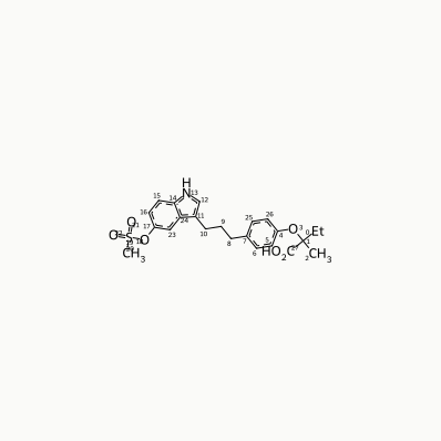 CCC(C)(Oc1ccc(CCCc2c[nH]c3ccc(OS(C)(=O)=O)cc23)cc1)C(=O)O